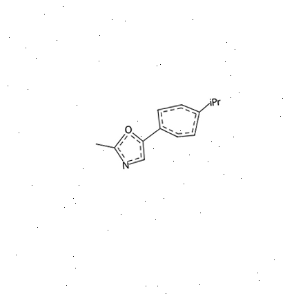 Cc1ncc(-c2ccc(C(C)C)cc2)o1